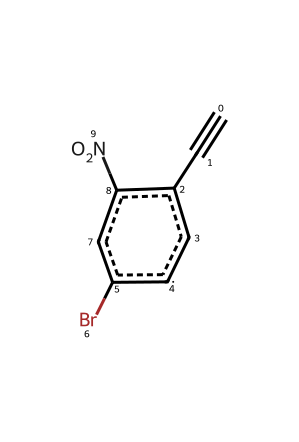 C#Cc1c[c]c(Br)cc1[N+](=O)[O-]